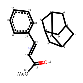 C1C2CC3CC1CC(C2)C3.COC(=O)/C=C/c1ccccc1